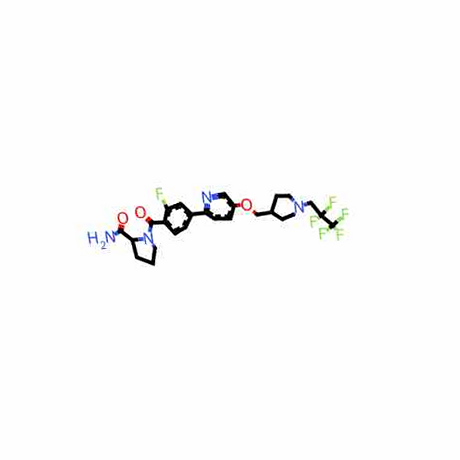 NC(=O)C1CCCN1C(=O)c1ccc(-c2ccc(OCC3CCN(CC(F)(F)C(F)(F)F)CC3)cn2)cc1F